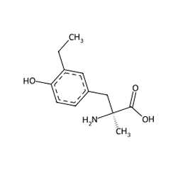 CCc1cc(C[C@](C)(N)C(=O)O)ccc1O